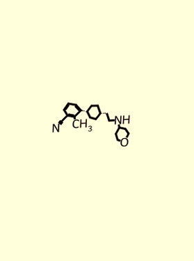 Cc1c(C#N)cccc1[C@H]1CC[C@@H](CCNC2CCOCC2)CC1